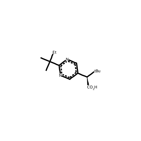 CCC(C)(C)c1ncc([C@H](C(=O)O)C(C)(C)C)cn1